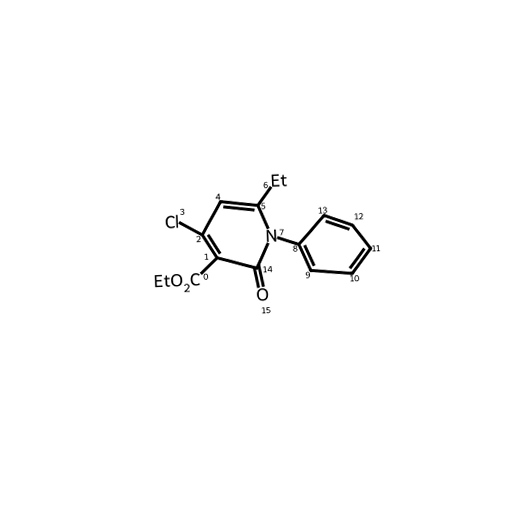 CCOC(=O)c1c(Cl)cc(CC)n(-c2ccccc2)c1=O